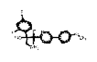 NCC(O)(c1ccc(F)cc1F)C(F)(F)c1ccc(-c2ccc(OC(F)(F)F)cc2)cn1